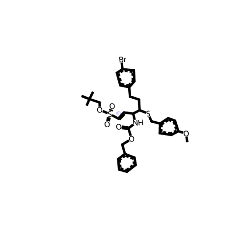 COc1ccc(CSC(CCc2ccc(Br)cc2)C(/C=C/S(=O)(=O)OCC(C)(C)C)NC(=O)OCc2ccccc2)cc1